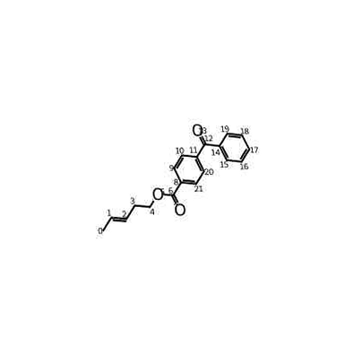 CC=CCCOC(=O)c1ccc(C(=O)c2ccccc2)cc1